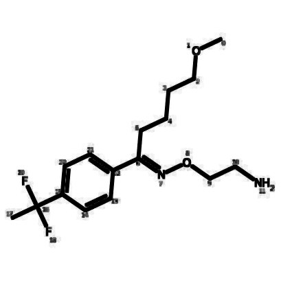 COCCCC/C(=N\OCCN)c1ccc(C(C)(F)F)cc1